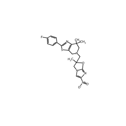 CC1(CN2Cc3sc(-c4ccc(F)cc4)nc3C(C)(C)C2)Cn2cc([N+](=O)[O-])nc2O1